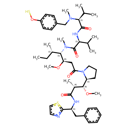 CC[C@H](C)[C@@H]([C@@H](CC(=O)N1CCC[C@H]1[C@H](OC)[C@@H](C)C(=O)N[C@@H](Cc1ccccc1)c1nccs1)OC)N(C)C(=O)[C@@H](NC(=O)[C@H](C(C)C)N(C)Cc1ccc(OS)cc1)C(C)C